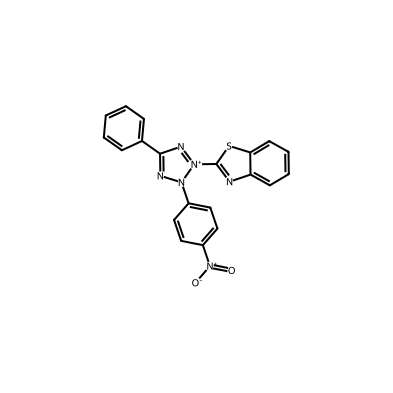 O=[N+]([O-])c1ccc(-n2nc(-c3ccccc3)n[n+]2-c2nc3ccccc3s2)cc1